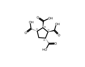 O=C(O)[C@@H]1[C@H](C(=O)O)[C@@H](C(=O)O)C[C@H]1C(=O)O